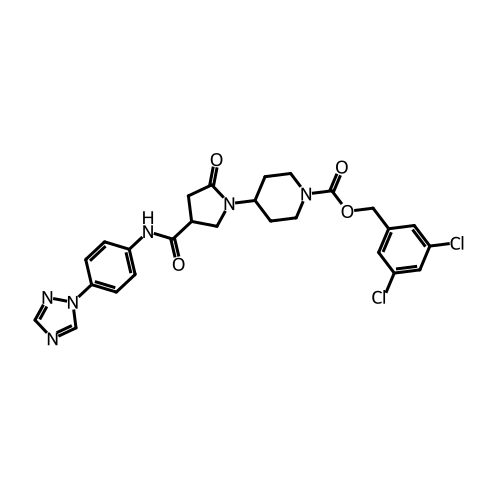 O=C(Nc1ccc(-n2cncn2)cc1)C1CC(=O)N(C2CCN(C(=O)OCc3cc(Cl)cc(Cl)c3)CC2)C1